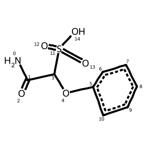 NC(=O)C(Oc1ccccc1)S(=O)(=O)O